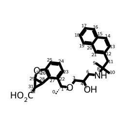 C[C@@H](OCC(O)CNC(C)(C)Cc1ccc2ccccc2c1)c1cccc2c1C1C(O2)C1C(=O)O